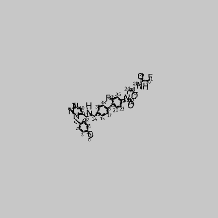 COc1ccc(Cn2nncc2CNCc2ccc(-c3ccc(N4C[C@H](CNC(=O)CF)OC4=O)cc3F)cc2)cc1